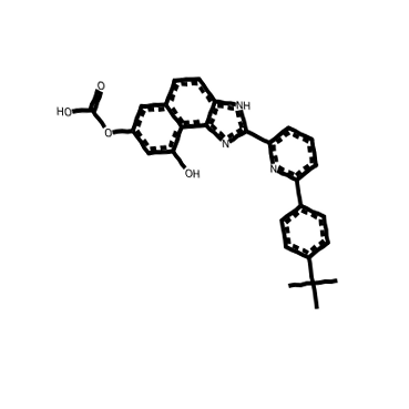 CC(C)(C)c1ccc(-c2cccc(-c3nc4c(ccc5cc(OC(=O)O)cc(O)c54)[nH]3)n2)cc1